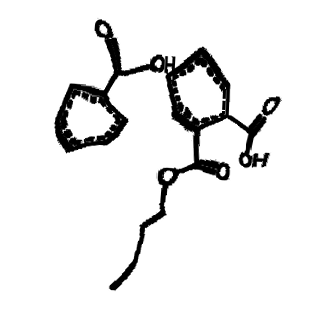 CCCCOC(=O)c1ccccc1C(=O)O.O=C(O)c1ccccc1